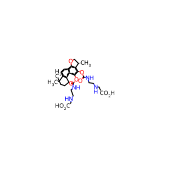 C[C@H]1COc2c1c(OC(=O)NCCNCC(=O)O)c(OC(=O)NCCNCC(=O)O)c1c3c(ccc21)C(C)(C)CCC3